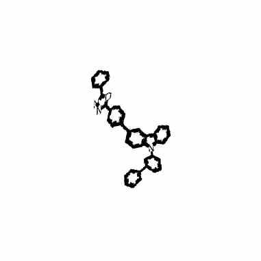 c1ccc(-c2cccc(-n3c4ccccc4c4cc(-c5ccc(-c6nnc(-c7ccccc7)o6)cc5)ccc43)c2)cc1